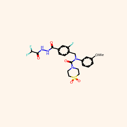 COc1cccc(N(Cc2ccc(C(=O)NNC(=O)C(F)F)cc2F)C(=O)N2CCS(=O)(=O)CC2)c1